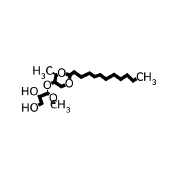 CCCCCCCCCCCC1OCC(O[C@H](OC)[C@H](O)CO)[C@@H](C)O1